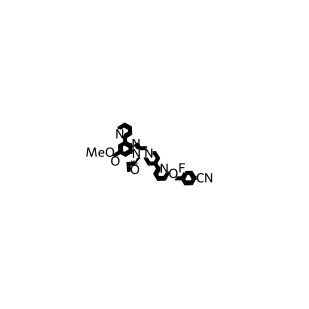 COC(=O)c1cc(-c2ccccn2)c2nc(CN3CCC(c4cccc(OCc5ccc(C#N)cc5F)n4)CC3)n(C[C@@H]3CCO3)c2c1